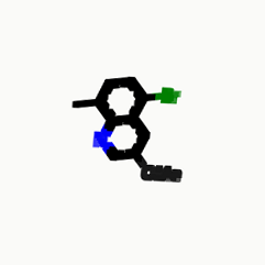 COc1cnc2c(C)ccc(Br)c2c1